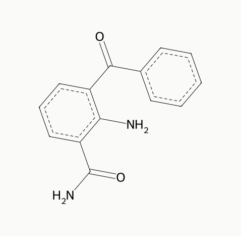 NC(=O)c1cccc(C(=O)c2ccccc2)c1N